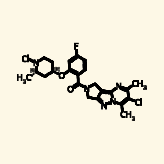 Cc1nc2c3c(nn2c(C)c1Cl)CN(C(=O)c1ccc(F)cc1O[C@@H]1CCN(Cl)[C@@H](C)C1)C3